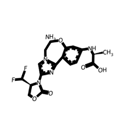 C[C@H](Nc1ccc2c(c1)OCCn1cc(N3C(=O)OC[C@H]3C(F)F)nc1-2)C(=O)O.N